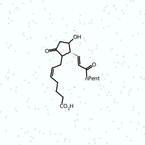 CCCCCC(=O)/C=C/[C@H]1C(O)CC(=O)C1C/C=C\CCCC(=O)O